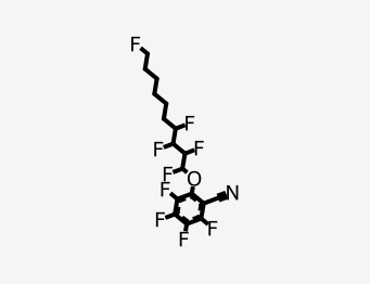 N#Cc1c(F)c(F)c(F)c(F)c1OC(F)C(F)C(F)C(F)CCCCCCF